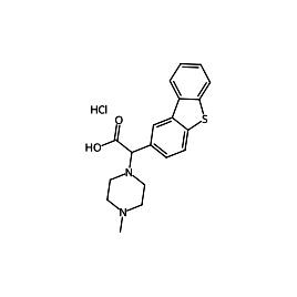 CN1CCN(C(C(=O)O)c2ccc3sc4ccccc4c3c2)CC1.Cl